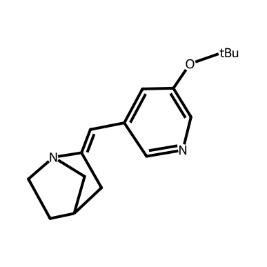 CC(C)(C)Oc1cncc(/C=C2\CC3CCN2C3)c1